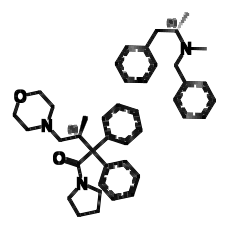 C[C@@H](Cc1ccccc1)N(C)Cc1ccccc1.C[C@H](CN1CCOCC1)C(C(=O)N1CCCC1)(c1ccccc1)c1ccccc1